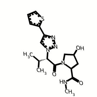 CNC(=O)C1CC(O)CN1C(=O)[C@H](C(C)C)n1cc(-c2cccs2)nn1